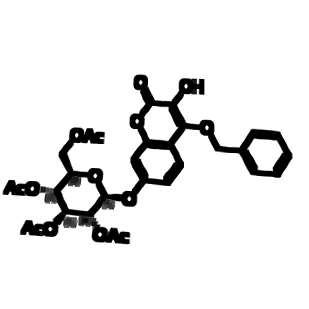 CC(=O)OC[C@H]1O[C@@H](Oc2ccc3c(OCc4ccccc4)c(O)c(=O)oc3c2)[C@H](OC(C)=O)[C@@H](OC(C)=O)[C@@H]1OC(C)=O